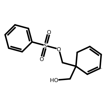 O=S(=O)(OCC1(CO)C=[C]C=CC1)c1ccccc1